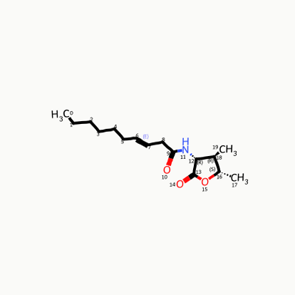 CCCCCC/C=C/CC(=O)N[C@H]1C(=O)O[C@@H](C)[C@@H]1C